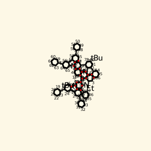 CCN(c1cccc2c1B(C(C)[C@@H](C)n1c3ccc(-c4ccccc4)cc3c3cc(-c4ccccc4)ccc31)c1ccc(-n3c4ccc(-c5ccccc5)cc4c4cc(-c5ccccc5)ccc43)cc1N2c1c(-c2ccccc2)cc(C(C)(C)C)cc1-c1ccccc1)c1c(-c2ccccc2)cc(C(C)(C)C)cc1-c1ccccc1